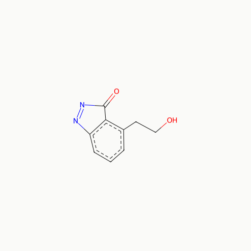 O=C1N=Nc2cccc(CCO)c21